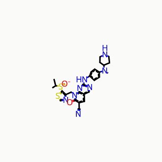 CC(C)[S+]([O-])c1scnc1Cn1c(=O)c(C#N)cc2cnc(Nc3ccc(N(C)C4CCNCC4)cc3)nc21